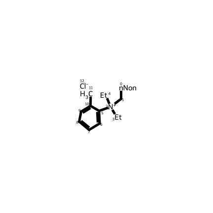 CCCCCCCCCC[N+](CC)(CC)c1ccccc1C.[Cl-]